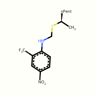 CCCCC[C@@H](C)SCNc1ccc([N+](=O)[O-])cc1C(F)(F)F